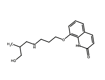 CC(CO)CNCCCOc1cccc2ccc(=O)[nH]c12